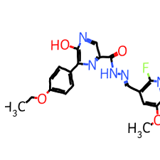 CCOc1ccc(-c2nc(C(=O)N/N=C/c3cc(OC)cnc3F)cnc2O)cc1